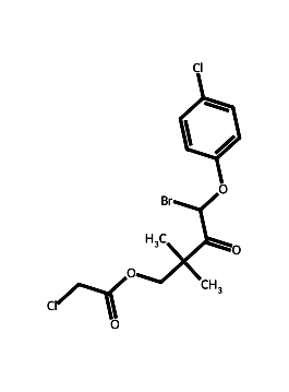 CC(C)(COC(=O)CCl)C(=O)C(Br)Oc1ccc(Cl)cc1